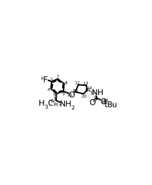 C[C@@H](N)c1cc(F)ccc1O[C@@H]1CC[C@H](NC(=O)OC(C)(C)C)C1